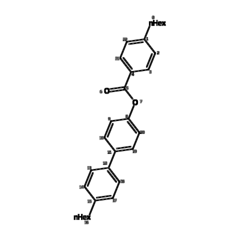 CCCCCCc1ccc(C(=O)Oc2ccc(-c3ccc(CCCCCC)cc3)cc2)cc1